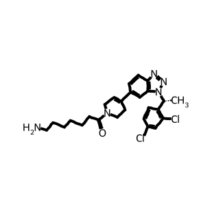 C[C@H](c1ccc(Cl)cc1Cl)n1nnc2ccc(C3=CCN(C(=O)CCCCCCN)CC3)cc21